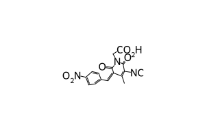 [C-]#[N+]C1=C(C)/C(=C/c2ccc([N+](=O)[O-])cc2)C(=O)N(CC(=O)O)C1=O